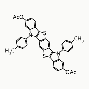 CC(=O)Oc1ccc2c3sc4cc5c(cc4c3n(-c3ccc(C)cc3)c2c1)sc1c2ccc(OC(C)=O)cc2n(-c2ccc(C)cc2)c51